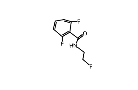 O=C(NCCF)c1c(F)cccc1F